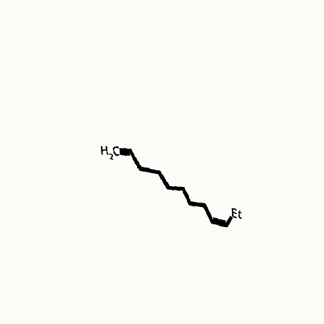 [CH2]C/C=C\CCCCCCC=C